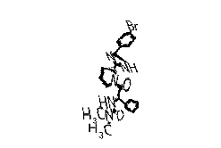 CN(C)C(=O)NC(C(=O)N1CCC[C@H]1c1nc(-c2ccc(Br)cc2)c[nH]1)c1ccccc1